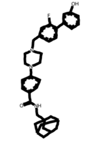 O=C(NCC12CC3CC(CC(C3)C1)C2)c1ccc(N2CCN(Cc3ccc(-c4cccc(O)c4)c(F)c3)CC2)cc1